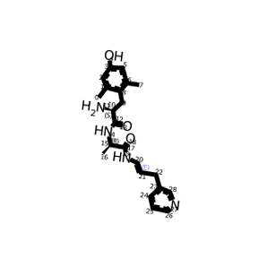 Cc1cc(O)cc(C)c1C[C@H](N)C(=O)N[C@H](C)C(=O)N/C=C/Cc1cccnc1